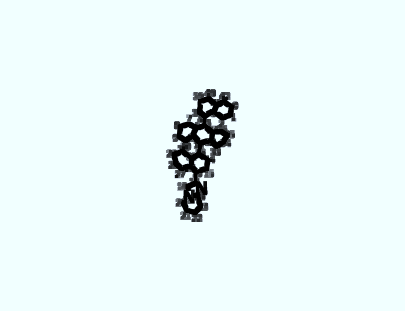 c1ccc2c(-c3c4ccccc4c(-c4ccc(-c5cn6ccccc6n5)c5ccccc45)c4ccccc34)cccc2c1